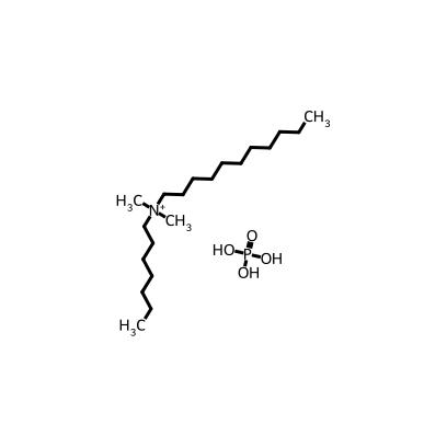 CCCCCCCCCCC[N+](C)(C)CCCCCCC.O=P(O)(O)O